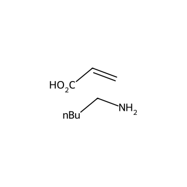 C=CC(=O)O.CCCCCN